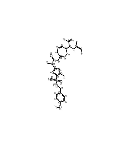 C=C(F)C(C/C(C)=C\C)C1C=CCC(CC(=O)N(C)c2nc(C)c(S(=N)(=O)NCc3ccc(OC)cc3)s2)=CC1